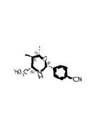 C[C@H]1[C@H](C)O[C@H](c2ccc(C#N)cc2)N[C@@H]1C(=O)O